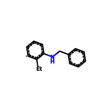 CCc1[c]cccc1NCc1ccccc1